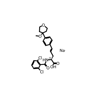 COC1(c2ccc(C=CC[C@H](NC(=O)c3c(Cl)cccc3Cl)C(=O)O)cc2)CCOCC1.[Na]